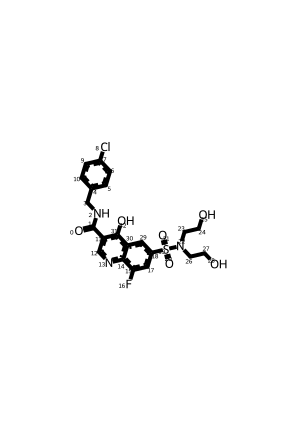 O=C(NCc1ccc(Cl)cc1)c1cnc2c(F)cc(S(=O)(=O)N(CCO)CCO)cc2c1O